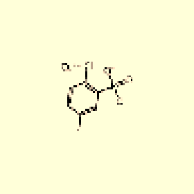 Cc1ccc(Cl)c(P(=O)([O-])[O-])c1.[Cu+2]